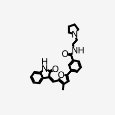 Cc1cc(-c2cccc(C(=O)NCCN3CCCC3)c2)oc1C=C1C(=O)Nc2ccccc21